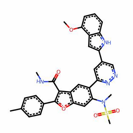 CNC(=O)c1c(-c2ccc(C)cc2)oc2cc(N(C)S(C)(=O)=O)c(-c3cc(-c4cc5c(OC)cccc5[nH]4)cnn3)cc12